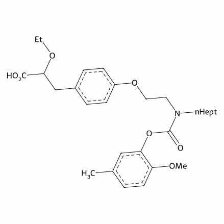 CCCCCCCN(CCOc1ccc(CC(OCC)C(=O)O)cc1)C(=O)Oc1cc(C)ccc1OC